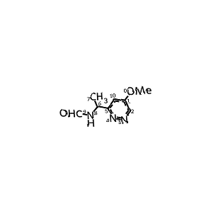 COc1cnnc(C(C)NC=O)c1